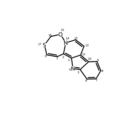 C1=Cc2c3nc4ccccc4c-3ccn2OCS1